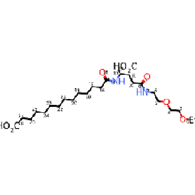 CCOCCOCCNC(=O)CC[C@@H](NC(=O)CCCCCCCCCCCCC(=O)O)C(=O)O